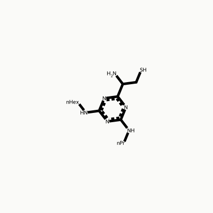 [CH2]CCNc1nc(NCCCCCC)nc(C(N)CS)n1